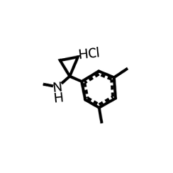 CNC1(c2cc(C)cc(C)c2)CC1.Cl